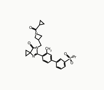 Cc1cc(-c2cccc(S(=O)(=O)C(C)C)c2)ccc1C1=NC2(CC2)C(=O)N1CC1CN(C(=O)C2CC2)C1